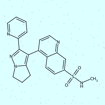 CNS(=O)(=O)c1ccc2c(-c3c(-c4ccccn4)nn4c3CCC4)ccnc2c1